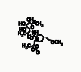 COCCC[C@H]1CCC(C(=O)N[C@@H]([C@H]2O[C@H](SC)[C@H](O)[C@@H](O)[C@H]2O)[C@H](C)Cl)N(Cc2oc(=O)oc2C)CC1